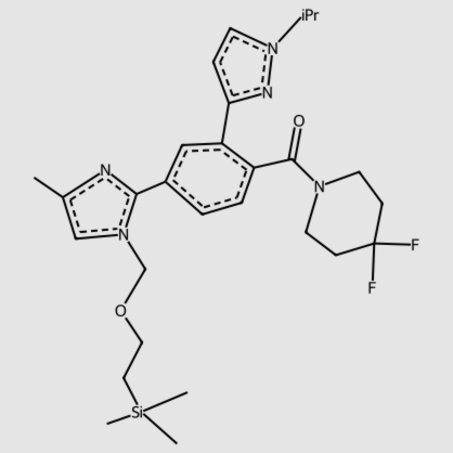 Cc1cn(COCC[Si](C)(C)C)c(-c2ccc(C(=O)N3CCC(F)(F)CC3)c(-c3ccn(C(C)C)n3)c2)n1